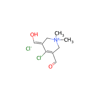 C[N+]1(C)CC(C=O)=C(Cl)/C(=C/O)C1.[Cl-]